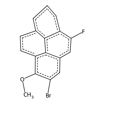 COc1c(Br)cc2cc(F)c3cccc4ccc1c2c43